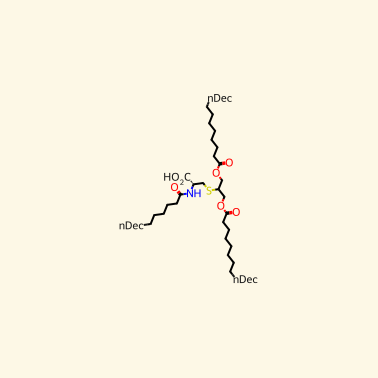 CCCCCCCCCCCCCCCCCC(=O)OCC(COC(=O)CCCCCCCCCCCCCCCCC)SC[C@H](NC(=O)CCCCCCCCCCCCCCC)C(=O)O